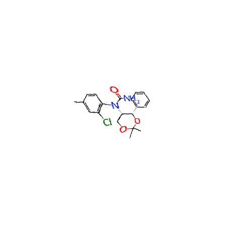 Cc1ccc(N(C(N)=O)[C@H]2COC(C)(C)O[C@H]2c2ccccc2)c(Cl)c1